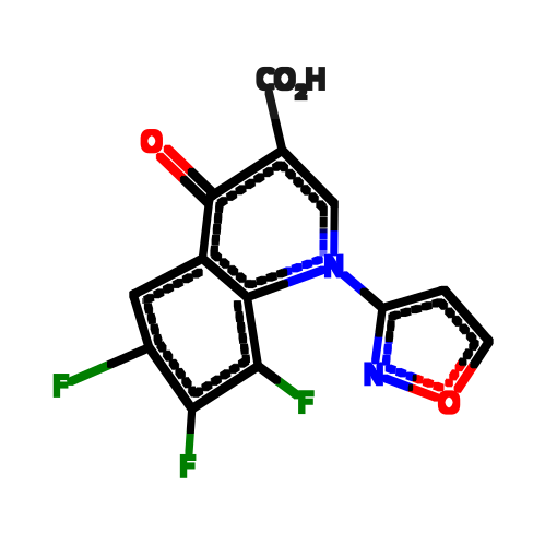 O=C(O)c1cn(-c2ccon2)c2c(F)c(F)c(F)cc2c1=O